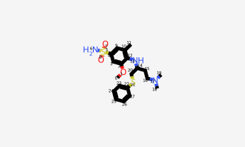 COc1cc(S(N)(=O)=O)cc(C)c1NC(CCN(C)C)CSc1ccccc1